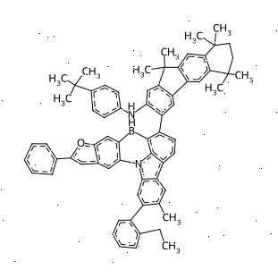 CCc1ccccc1-c1cc2c(cc1C)c1ccc(-c3cc4c(cc3Nc3ccc(C(C)(C)C)cc3)C(C)(C)c3cc5c(cc3-4)C(C)(C)CCC5(C)C)c3c1n2-c1cc2cc(-c4ccccc4)oc2cc1B3